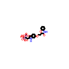 O=C1Nc2ccccc2OC1CCOc1ccc2cc(CC(P(=O)(O)O)P(=O)(O)O)[nH]c2c1